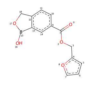 O=C(OCc1ccco1)c1ccc2c(c1)B(O)OC2